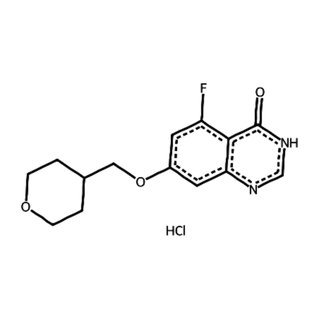 Cl.O=c1[nH]cnc2cc(OCC3CCOCC3)cc(F)c12